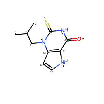 CC(C)Cn1c(=S)[nH]c(=O)c2[nH]ccc21